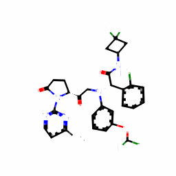 N#Cc1ccnc(N2C(=O)CC[C@H]2C(=O)CN(c2cccc(OC(F)F)c2)[C@H](C(=O)NC2CC(F)(F)C2)c2ccccc2Cl)n1